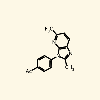 CC(=O)c1ccc(-n2c(C)nc3ccc(C(F)(F)F)nc32)cc1